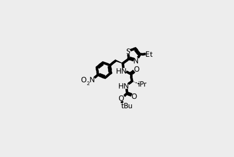 CCc1csc([C@H](Cc2ccc([N+](=O)[O-])cc2)NC(=O)[C@@H](NC(=O)OC(C)(C)C)C(C)C)n1